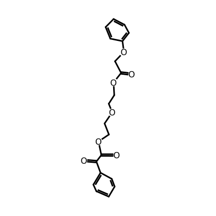 O=C(COc1ccccc1)OCCOCCOC(=O)C(=O)c1ccccc1